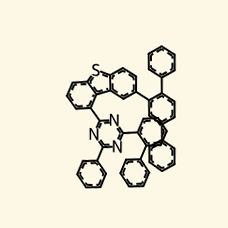 c1ccc(-c2ccc(-c3ccccc3)c(-c3ccc4sc5cccc(-c6nc(-c7ccccc7)nc(-c7ccccc7-c7ccccc7)n6)c5c4c3)c2)cc1